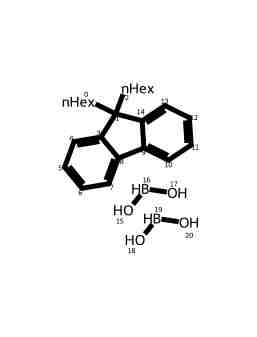 CCCCCCC1(CCCCCC)c2ccccc2-c2ccccc21.OBO.OBO